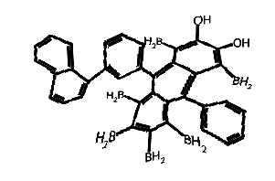 Bc1c(B)c(B)c2c(-c3cccc(-c4cccc5ccccc45)c3)c3c(B)c(O)c(O)c(B)c3c(-c3ccccc3)c2c1B